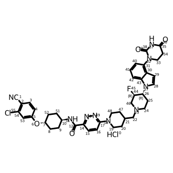 Cl.N#Cc1ccc(O[C@H]2CC[C@H](NC(=O)c3ccc(N4CCC(CN5CC[C@@H](n6ccc7c(N8CCC(=O)NC8=O)cccc76)[C@H](F)C5)CC4)nn3)CC2)cc1Cl